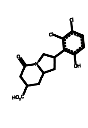 O=C(O)C1CC(=O)N2CC(c3c(O)ccc(Cl)c3Cl)CC2C1